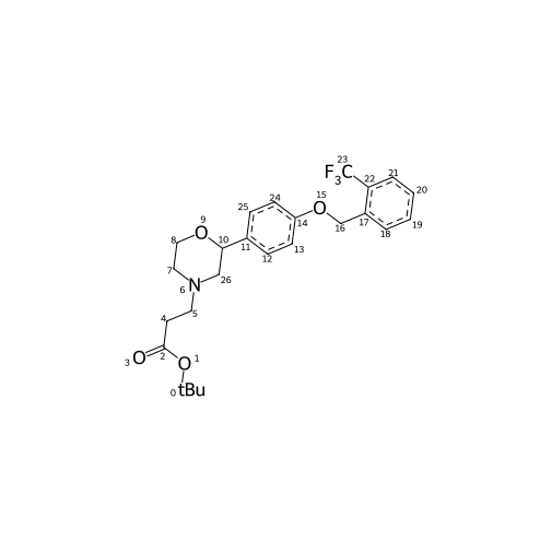 CC(C)(C)OC(=O)CCN1CCOC(c2ccc(OCc3ccccc3C(F)(F)F)cc2)C1